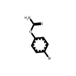 NC(=S)Oc1ccc(Br)cc1